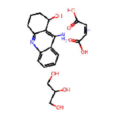 Nc1c2c(nc3ccccc13)CCCC2O.O=C(O)/C=C\C(=O)O.OCC(O)CO